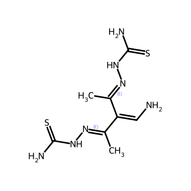 C/C(=N\NC(N)=S)C(=CN)/C(C)=N/NC(N)=S